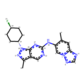 Cc1cc2ncnn2cc1Nc1ncc2c(C)nn([C@H]3CC[C@H](F)CC3)c2n1